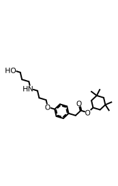 CC1(C)CC(OC(=O)Cc2ccc(OCCCNCCCO)cc2)CC(C)(C)C1